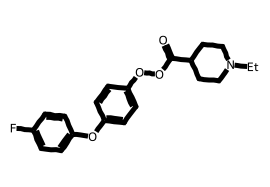 CCN1CCC(C(=O)OOc2ccc(Oc3ccc(F)cc3)cc2)CC1